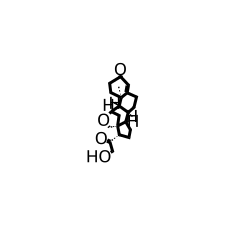 C[C@]12CCC(=O)C=C1CC[C@@H]1[C@@H]2[C@@H]2C[C@]3(CO2)[C@@H](C(=O)CO)CC[C@@H]13